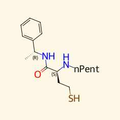 CCCCCN[C@@H](CCS)C(=O)N[C@H](C)c1ccccc1